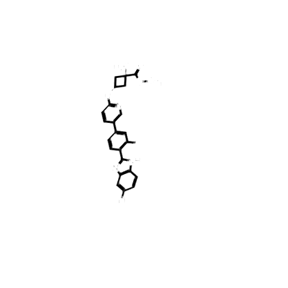 COC(=O)[C@]1(C)C[C@@H](Oc2ccc(-c3ccc(-c4nc5cc(Cl)ccc5[nH]4)c(F)c3)cn2)C1